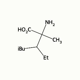 CCC(C)C(CC)C(C)(N)C(=O)O